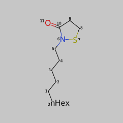 CCCCCCCCCCCN1SCCC1=O